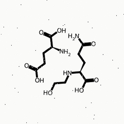 NC(=O)CC[C@H](NCCO)C(=O)O.N[C@@H](CCC(=O)O)C(=O)O